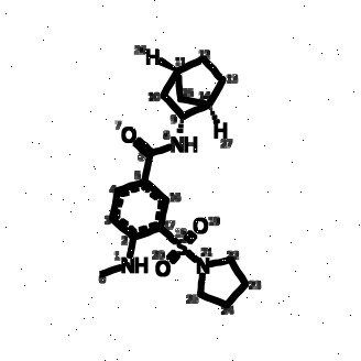 CNc1ccc(C(=O)N[C@@H]2C[C@@H]3CC[C@@H]2C3)cc1S(=O)(=O)N1CCCC1